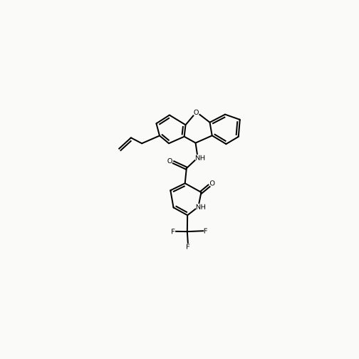 C=CCc1ccc2c(c1)C(NC(=O)c1ccc(C(F)(F)F)[nH]c1=O)c1ccccc1O2